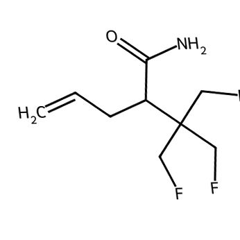 C=CCC(C(N)=O)C(CF)(CF)CF